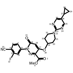 COC(=O)c1nn(-c2ccc(C#N)c(F)c2)c(=O)cc1OC1CCN(c2ncc(C3CC3)cn2)CC1